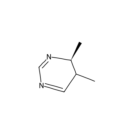 CC1C=NC=N[C@H]1C